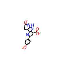 COC(=O)C1CC(c2ccc(OC)cc2)=Nc2c1[nH]c1nc(OC)ccc21